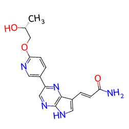 C[C@@H](O)COc1ccc(-c2cnc3[nH]cc(C=CC(N)=O)c3n2)cn1